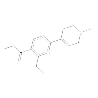 CCC(=S)c1ccc(C2=CCN(C)CC2)nc1CC